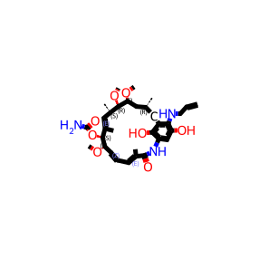 C=CCNc1c(O)cc2c(O)c1C[C@@H](C)C[C@H](OC)[C@H](OC)[C@@H](C)/C=C(\C)[C@H](OC(N)=O)[C@@H](OC)/C=C\C=C(/C)C(=O)N2